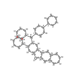 c1ccc(-c2ccc(N(c3ccccc3)c3cc4c(cc3-c3ccccc3)oc3cc5ccccc5cc34)cc2)cc1